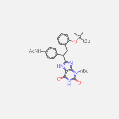 CCCCn1c(=O)[nH]c(=O)c2[nH]c(C(Cc3ccccc3O[Si](C)(C)C(C)(C)C)c3ccc(NC(C)=O)cc3)nc21